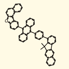 CC1(C)c2cc3ccccc3cc2-c2cccc(-c3ccc(-c4c5ccccc5c(-c5ccc6oc7ccc8ccccc8c7c6c5)c5ccccc45)cc3)c21